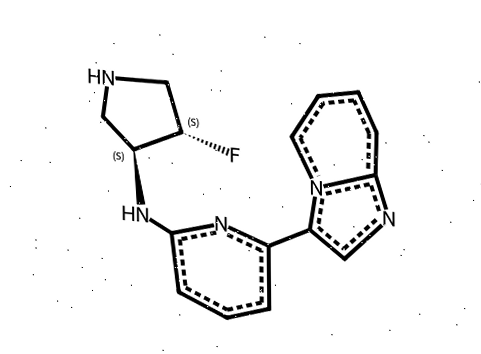 F[C@H]1CNC[C@@H]1Nc1cccc(-c2cnc3ccccn23)n1